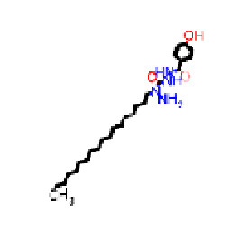 CCCCCCCCCCCCCCCCCCN(N)C(=O)NNC(=O)c1ccc(O)cc1